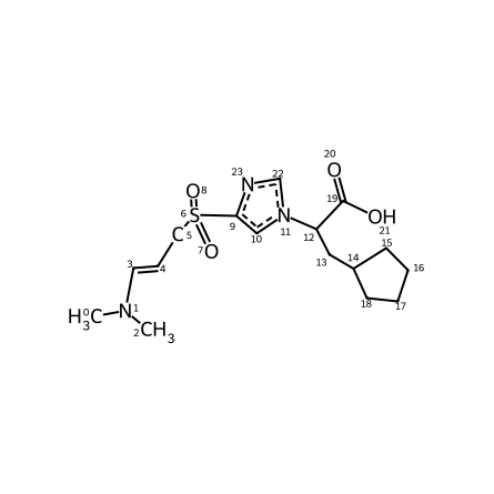 CN(C)C=CCS(=O)(=O)c1cn(C(CC2CCCC2)C(=O)O)cn1